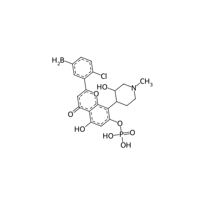 Bc1ccc(Cl)c(-c2cc(=O)c3c(O)cc(OP(=O)(O)O)c(C4CCN(C)CC4O)c3o2)c1